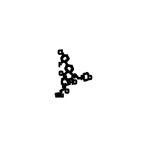 CC(C)(C)CC(=O)N1CCN2C(=O)c3cc(-c4ccc(Cl)cc4F)ccc3N(CCN3CCOCC3)C(=O)[C@H]2C1